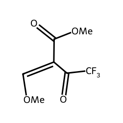 COC=C(C(=O)OC)C(=O)C(F)(F)F